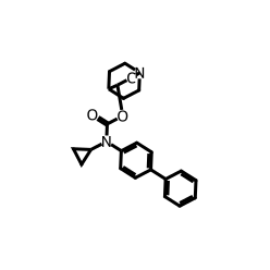 O=C(OC1CN2CCC1CC2)N(c1ccc(-c2ccccc2)cc1)C1CC1